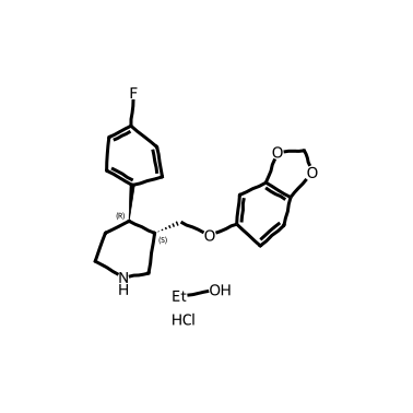 CCO.Cl.Fc1ccc([C@@H]2CCNC[C@H]2COc2ccc3c(c2)OCO3)cc1